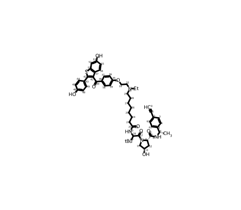 C#Cc1ccc([C@H](C)NC(=O)[C@@H]2C[C@@H](O)CN2C(=O)C(NC(=O)CCCCCCCN(CC)CCOc2ccc(C(=O)c3c(-c4ccc(O)cc4)sc4cc(O)ccc34)cc2)C(C)(C)C)cc1